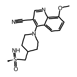 COc1cccc2c(N3CCC(C[S@@](C)(=N)=O)CC3)c(C#N)cnc12